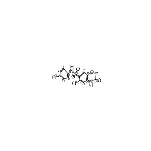 CC(C)c1ccc(NS(=O)(=O)c2cc3c(cc2Cl)NC(=O)CO3)cc1